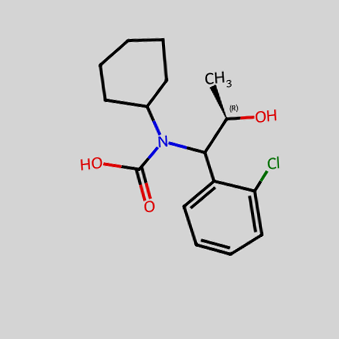 C[C@@H](O)C(c1ccccc1Cl)N(C(=O)O)C1CCCCC1